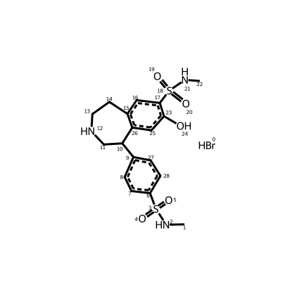 Br.CNS(=O)(=O)c1ccc(C2CNCCc3cc(S(=O)(=O)NC)c(O)cc32)cc1